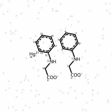 O=C([O-])CNc1ccccc1.O=C([O-])CNc1ccccc1.[Hg+2]